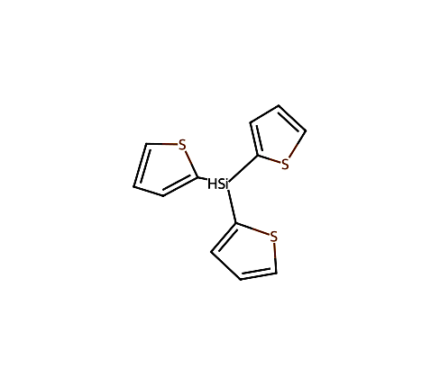 c1csc([SiH](c2cccs2)c2cccs2)c1